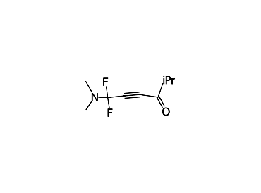 CC(C)C(=O)C#CC(F)(F)N(C)C